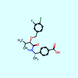 CC(C)[C@@H](OCc1ccc(F)c(F)c1)C(=O)N[C@@H](C)c1ccc(C(=O)O)cc1